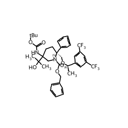 C[C@@H](OC[C@@]1(c2ccccc2)CCC(NC(=O)OC(C)(C)C)(C(C)(C)O)CN1C(=O)OCc1ccccc1)c1cc(C(F)(F)F)cc(C(F)(F)F)c1